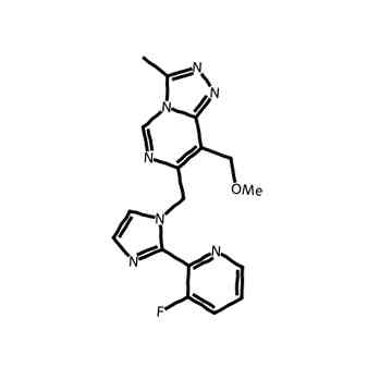 COCc1c(Cn2ccnc2-c2ncccc2F)ncn2c(C)nnc12